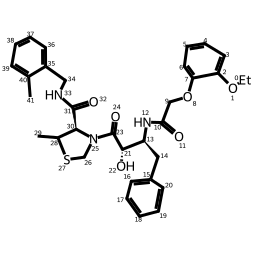 CCOc1ccccc1OCC(=O)N[C@@H](Cc1ccccc1)[C@H](O)C(=O)N1CSC(C)[C@H]1C(=O)NCc1ccccc1C